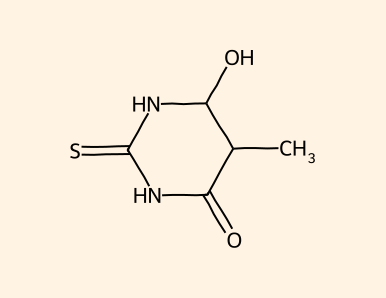 CC1C(=O)NC(=S)NC1O